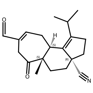 CC(C)C1=C2[C@@H]3CC=C(C=O)CC(=O)[C@@]3(C)CC[C@]2(C#N)CC1